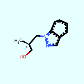 C[C@H](CO)Cn1ncc2ccccc21